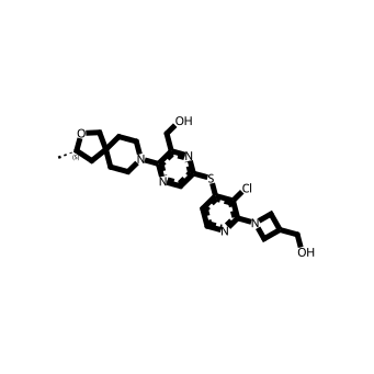 C[C@H]1CC2(CCN(c3ncc(Sc4ccnc(N5CC(CO)C5)c4Cl)nc3CO)CC2)CO1